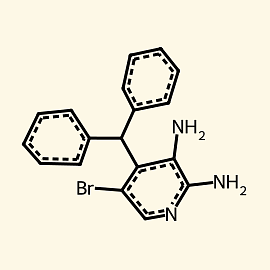 Nc1ncc(Br)c(C(c2ccccc2)c2ccccc2)c1N